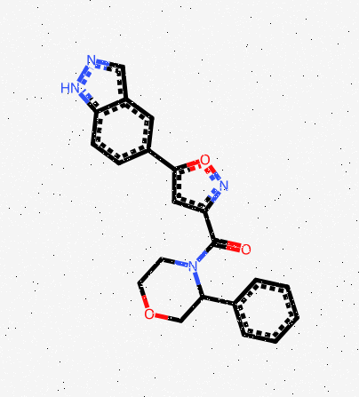 O=C(c1cc(-c2ccc3[nH]ncc3c2)on1)N1CCOCC1c1ccccc1